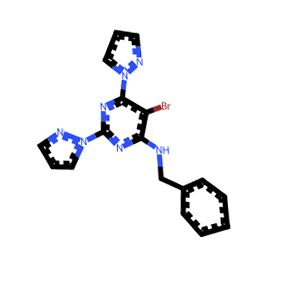 Brc1c(NCc2ccccc2)nc(-n2cccn2)nc1-n1cccn1